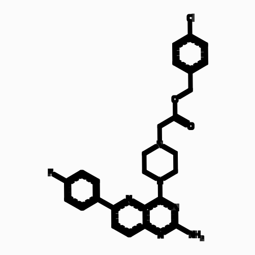 Nc1nc(N2CCN(CC(=O)OCc3ccc(Cl)cc3)CC2)c2nc(-c3ccc(F)cc3)ccc2n1